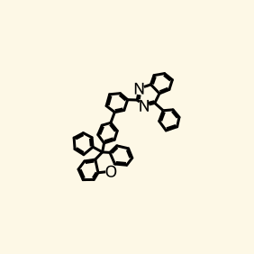 c1ccc(-c2nc(-c3cccc(-c4ccc(C5(c6ccccc6)c6ccccc6Oc6ccccc65)cc4)c3)nc3ccccc23)cc1